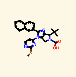 CSc1nccc(-n2c(-c3ccc4ccccc4c3)nc3c2CN(C(=O)O)C3C(C)(C)C)n1